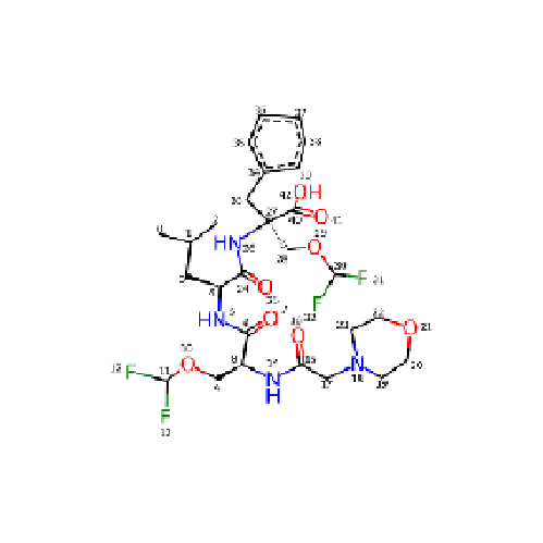 CC(C)C[C@H](NC(=O)[C@H](COC(F)F)NC(=O)CN1CCOCC1)C(=O)N[C@@](COC(F)F)(Cc1ccccc1)C(=O)O